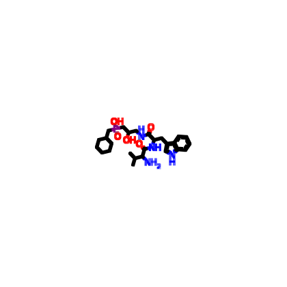 CC(C)C(N)C(=O)NC(Cc1c[nH]c2ccccc12)C(=O)NCC(O)CP(=O)(O)CC1CCCCC1